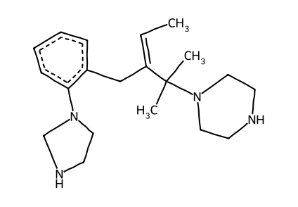 CC=C(Cc1ccccc1N1CCNC1)C(C)(C)N1CCNCC1